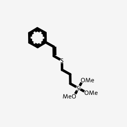 CO[Si](CCCSC=Cc1ccccc1)(OC)OC